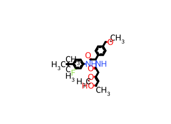 COCc1ccc([C@@H](NC(=O)C/C(=C/C(C)O)OC)C(=O)Nc2ccc(C(C)(C)C)c(F)c2)cc1